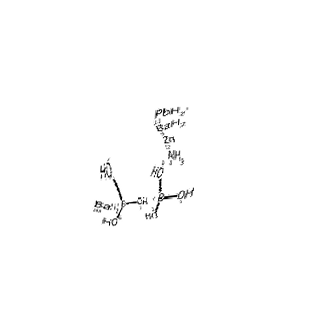 OB(O)O.OB(O)O.[AlH3].[BaH2].[BaH2].[PbH2].[Zn]